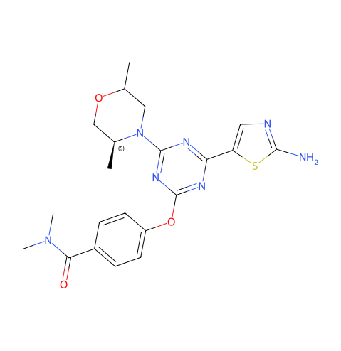 CC1CN(c2nc(Oc3ccc(C(=O)N(C)C)cc3)nc(-c3cnc(N)s3)n2)[C@@H](C)CO1